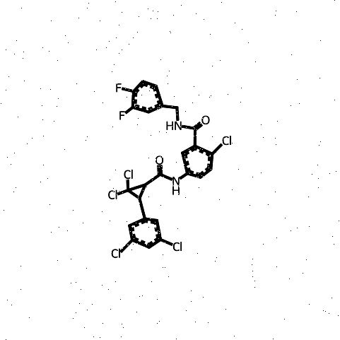 O=C(NCc1ccc(F)c(F)c1)c1cc(NC(=O)C2C(c3cc(Cl)cc(Cl)c3)C2(Cl)Cl)ccc1Cl